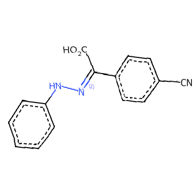 N#Cc1ccc(/C(=N/Nc2ccccc2)C(=O)O)cc1